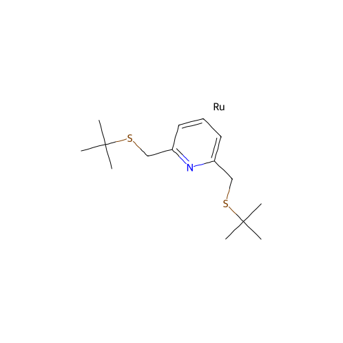 CC(C)(C)SCc1cccc(CSC(C)(C)C)n1.[Ru]